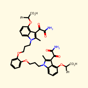 Cc1c(C(=O)C(N)=O)c2c(OC(C(=O)O)C(C)C)cccc2n1CCCOc1ccccc1OCCCn1c(C)c(C(=O)C(N)=O)c2c(OC(C(=O)O)C(C)C)cccc21